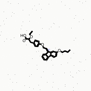 CCCCOc1ccc2c(c1)/C(=C/COc1ccc(CC(OCC)C(=O)O)cc1)c1ccccc1-2